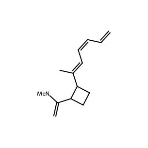 C=C/C=C\C=C(/C)C1CCC1C(=C)NC